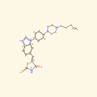 CCCCN1CCN(c2ccc(-n3cnc4ccc(/C=C5\SC(=O)NC5=O)cc43)cc2)CC1